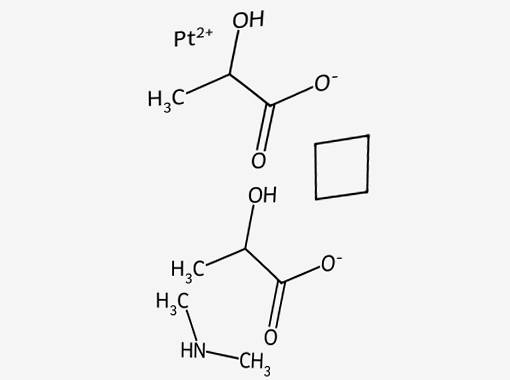 C1CCC1.CC(O)C(=O)[O-].CC(O)C(=O)[O-].CNC.[Pt+2]